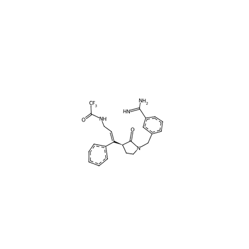 N=C(N)c1cccc(CN2CC[C@@H](C(=CCNC(=O)C(F)(F)F)c3ccccc3)C2=O)c1